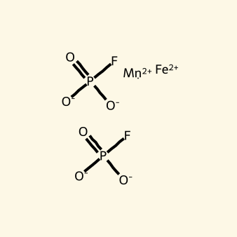 O=P([O-])([O-])F.O=P([O-])([O-])F.[Fe+2].[Mn+2]